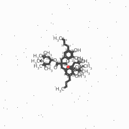 CCCCc1cc(CC(Cc2cc(C)c(O)c(CCCC)c2)(C(=O)OC2CC(C)(C)N(C)C(C)(C)C2)C(=O)OC2CC(C)(C)N(C)C(C)(C)C2)cc(C)c1O